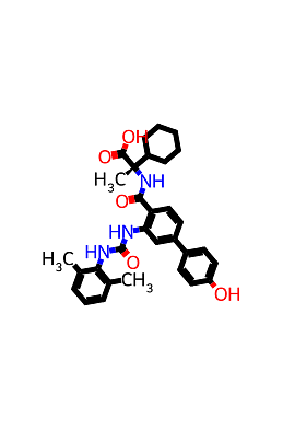 Cc1cccc(C)c1NC(=O)Nc1cc(-c2ccc(O)cc2)ccc1C(=O)N[C@](C)(C(=O)O)C1CCCCC1